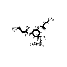 CCCC(=O)NC1CC(NC(=O)CCC)CC(C)(C)C1.[CH3][Ti][CH3]